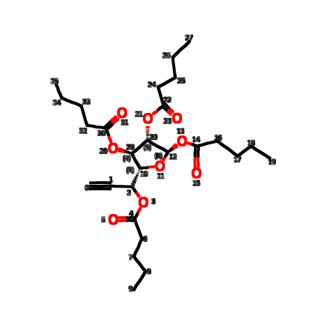 C#CC(OC(=O)CCCC)[C@H]1O[C@H](OC(=O)CCCC)[C@@H](OC(=O)CCCC)[C@@H]1OC(=O)CCCC